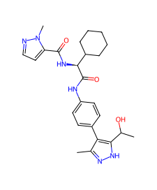 Cc1n[nH]c(C(C)O)c1-c1ccc(NC(=O)[C@@H](NC(=O)c2ccnn2C)C2CCCCC2)cc1